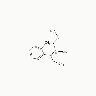 CCN(c1ncncc1C)[C@H](C)COC